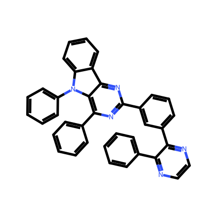 c1ccc(-c2nccnc2-c2cccc(-c3nc(-c4ccccc4)c4c(n3)c3ccccc3n4-c3ccccc3)c2)cc1